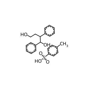 Cc1ccc(S(=O)(=O)O)cc1.OCCC(c1ccccc1)C(O)c1ccccc1